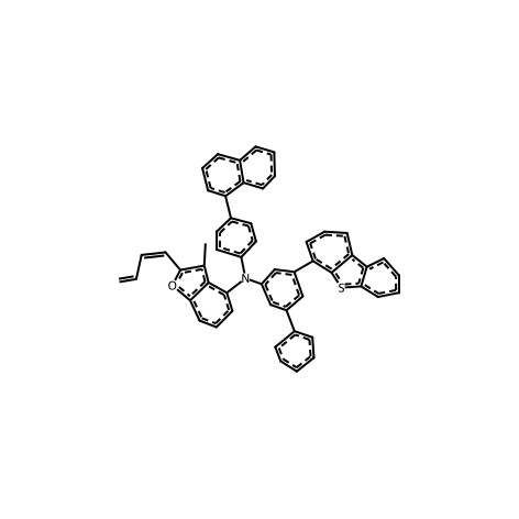 C=C/C=C\c1oc2cccc(N(c3ccc(-c4cccc5ccccc45)cc3)c3cc(-c4ccccc4)cc(-c4cccc5c4sc4ccccc45)c3)c2c1C